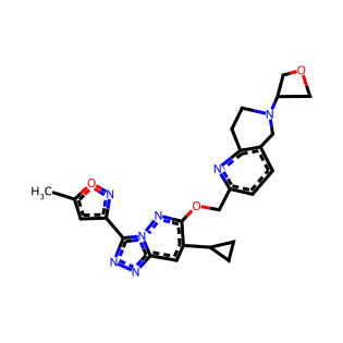 Cc1cc(-c2nnc3cc(C4CC4)c(OCc4ccc5c(n4)CCN(C4COC4)C5)nn23)no1